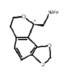 CNC[C@@H]1OCCc2ccc3c(c21)OCO3